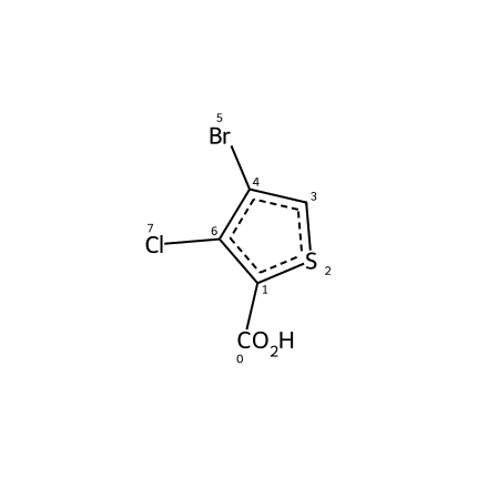 O=C(O)c1scc(Br)c1Cl